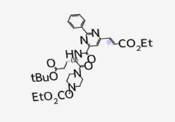 CCOC(=O)/C=C/c1cc(C(=O)N[C@@H](CCC(=O)OC(C)(C)C)C(=O)N2CCN(OC(=O)OCC)CC2)nc(-c2ccccc2)n1